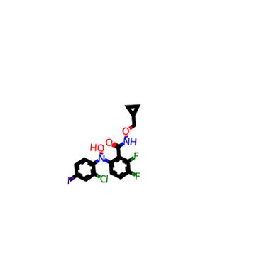 O=C(NOCC1CC1)c1c(N(O)c2ccc(I)cc2Cl)ccc(F)c1F